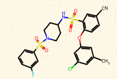 Cc1cc(Cl)cc(Oc2ccc(C#N)cc2S(=O)(=O)NC2CCN(S(=O)(=O)c3cccc(F)c3)CC2)c1